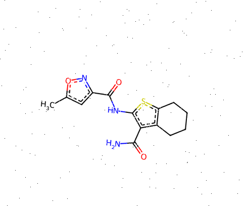 Cc1cc(C(=O)Nc2sc3c(c2C(N)=O)CCCC3)no1